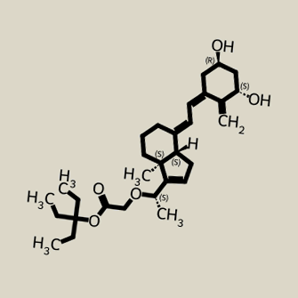 C=C1C(=CC=C2CCC[C@]3(C)C([C@H](C)OCC(=O)OC(CC)(CC)CC)=CC[C@@H]23)C[C@@H](O)C[C@@H]1O